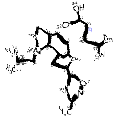 Cc1noc(-c2cc3c(ccc4cnn(C[C@H](C)N)c43)o2)n1.O=C(O)/C=C/C(=O)O